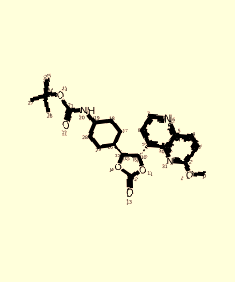 COc1ccc2nccc([C@@H]3OC(=O)O[C@H]3C3CCC(NC(=O)OC(C)(C)C)CC3)c2n1